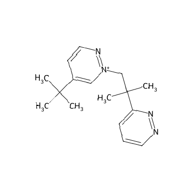 CC(C)(C)c1ccn[n+](CC(C)(C)c2cccnn2)c1